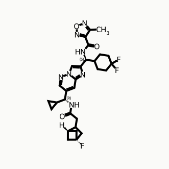 Cc1nonc1C(=O)N[C@H](c1cn2ncc([C@H](NC(=O)CC3C[C@]4(F)C[C@@H]3C4)C3CC3)cc2n1)C1CCC(F)(F)CC1